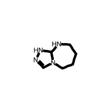 C1=NNC2NCCCCN12